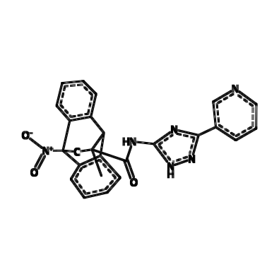 CC1(C(=O)Nc2nc(-c3cccnc3)n[nH]2)CC2([N+](=O)[O-])c3ccccc3C1c1ccccc12